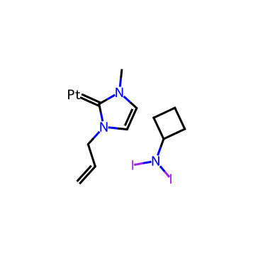 C=CCn1ccn(C)[c]1=[Pt].IN(I)C1CCC1